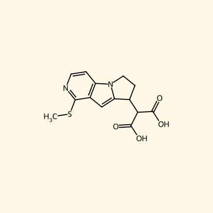 CSc1nccc2c1cc1n2CCC1C(C(=O)O)C(=O)O